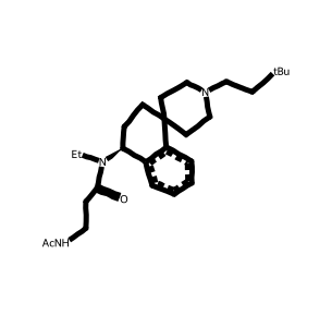 CCN(C(=O)CCNC(C)=O)[C@H]1CCC2(CCN(CCC(C)(C)C)CC2)c2ccccc21